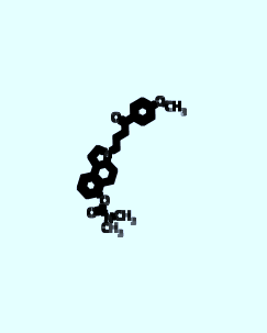 COc1ccc(C(=O)CCCN2CCC3c4cccc(OC(=O)N(C)C)c4CCC32)cc1